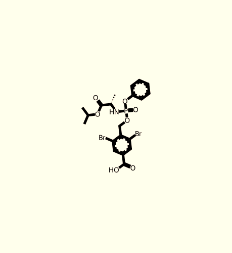 CC(C)OC(=O)[C@H](C)NP(=O)(OCc1c(Br)cc(C(=O)O)cc1Br)Oc1ccccc1